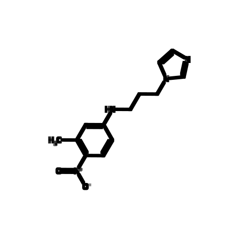 Cc1cc(NCCCn2ccnc2)ccc1[N+](=O)[O-]